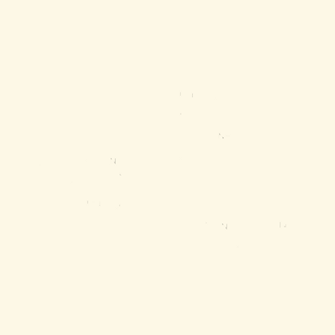 CC(C)(C)C1CCCCC1NC(=O)c1cc(C(=O)NC2CCCCC2C(C)(C)C)cc(C(=O)NC2CCCCC2C(C)(C)C)c1